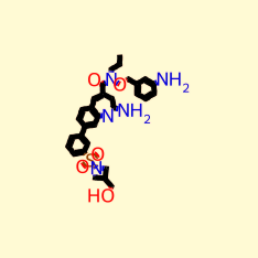 CCCN(OCc1cccc(N)c1)C(=O)C1=Cc2ccc(-c3cccc(S(=O)(=O)N4CC(CO)C4)c3)cc2N=C(N)C1